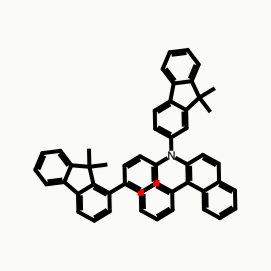 CC1(C)c2ccccc2-c2ccc(N(c3ccc(-c4cccc5c4C(C)(C)c4ccccc4-5)cc3)c3ccc4ccccc4c3-c3ccccc3)cc21